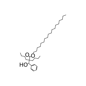 CCCCCCCCCCCCCCCCCCOC(=O)C(CCCC)(CCCC)C(O)c1ccccc1